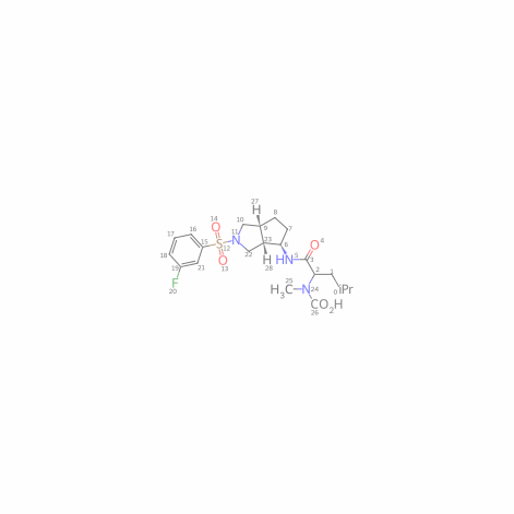 CC(C)CC(C(=O)N[C@@H]1CC[C@H]2CN(S(=O)(=O)c3cccc(F)c3)C[C@H]21)N(C)C(=O)O